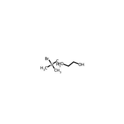 C[Si](C)(C)Br.OCCO